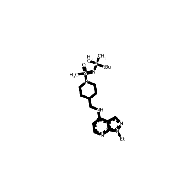 CCn1ncc2c(NCC3CCN(S(C)(=O)=N[Si](C)(C)C(C)(C)C)CC3)ccnc21